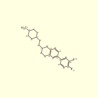 CC1CCC(CCC2CCc3cc(-c4ccc(F)c(F)c4)ccc3C2)CC1